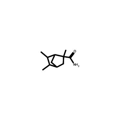 CC1C2CC(C1C)C(C)(C(N)=O)C2